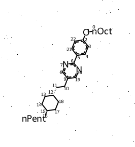 CCCCCCCCOc1ccc(-c2ncc(CC[C@H]3CC[C@H](CCCCC)CC3)cn2)cc1